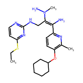 CCSc1ccnc(NC/C(=C(/N)c2ccc(OC3CCCCC3)c(C)n2)N(C)N)n1